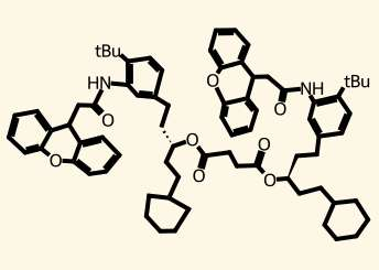 CC(C)(C)c1ccc(CC[C@@H](CCC2CCCCC2)OC(=O)CCC(=O)O[C@@H](CCc2ccc(C(C)(C)C)c(NC(=O)CC3c4ccccc4Oc4ccccc43)c2)CCC2CCCCC2)cc1NC(=O)CC1c2ccccc2Oc2ccccc21